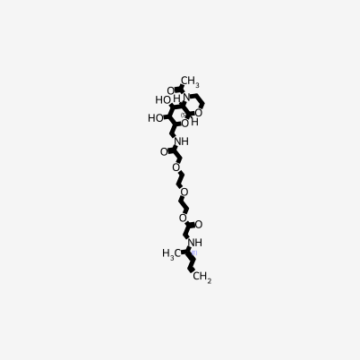 C=C/C=C(\C)NCC(=O)OCCOCCOCC(=O)NCC1O[C@@H]2OCCN(C(C)=O)[C@H]2C(O)C1O